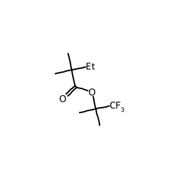 CCC(C)(C)C(=O)OC(C)(C)C(F)(F)F